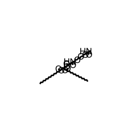 CCCCCCCCCCCCCCCC(=O)OCC(COC(=O)CCC(=O)NCCOCCOCCOCC(=O)NC)OC(=O)CCCCCCCCCCCCCCC